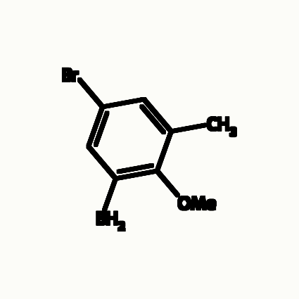 Bc1cc(Br)cc(C)c1OC